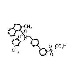 Cc1ccc2ccccc2c1S(=O)(=O)N(Cc1ccc(-c2cccc(S(=O)(=O)CC(=O)O)c2)cc1)Cc1cccc(C(F)(F)F)c1